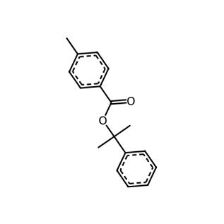 Cc1ccc(C(=O)OC(C)(C)c2ccccc2)cc1